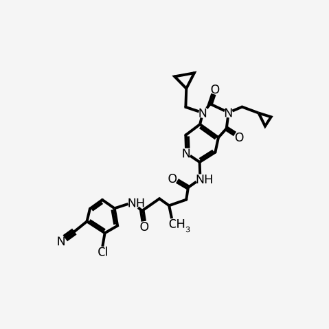 CC(CC(=O)Nc1ccc(C#N)c(Cl)c1)CC(=O)Nc1cc2c(=O)n(CC3CC3)c(=O)n(CC3CC3)c2cn1